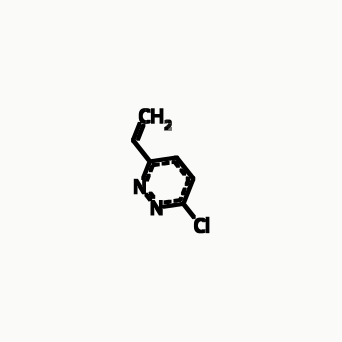 C=Cc1ccc(Cl)nn1